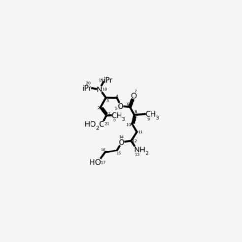 CC(=CC(COC(=O)C(C)=CCC(N)OCCO)N(C(C)C)C(C)C)C(=O)O